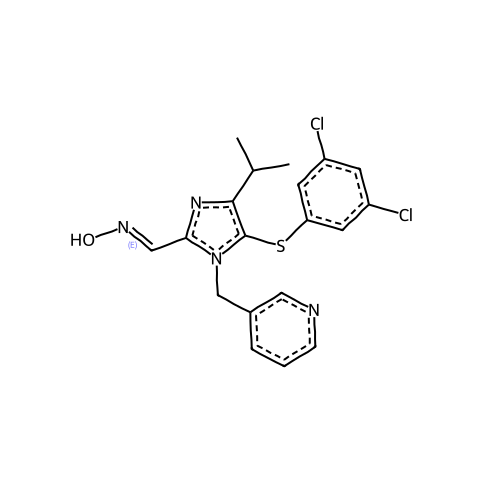 CC(C)c1nc(/C=N/O)n(Cc2cccnc2)c1Sc1cc(Cl)cc(Cl)c1